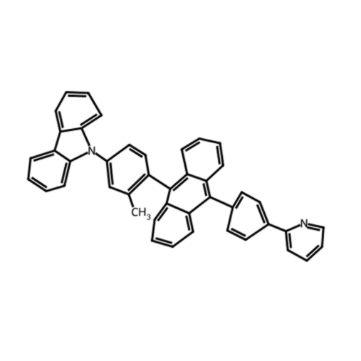 Cc1cc(-n2c3ccccc3c3ccccc32)ccc1-c1c2ccccc2c(-c2ccc(-c3ccccn3)cc2)c2ccccc12